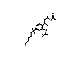 CCCCCCC(C)(C)c1ccc(C(C)CC(C)OC(C)=O)c(OC(C)=O)c1